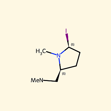 CNC[C@@H]1CC[C@H](I)N1C